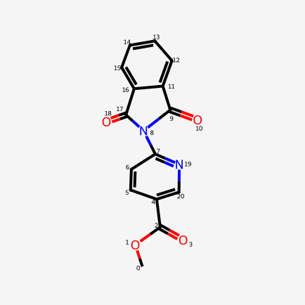 COC(=O)c1ccc(N2C(=O)c3ccccc3C2=O)nc1